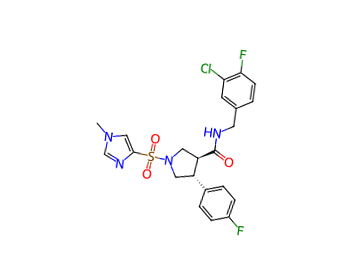 Cn1cnc(S(=O)(=O)N2C[C@@H](C(=O)NCc3ccc(F)c(Cl)c3)[C@H](c3ccc(F)cc3)C2)c1